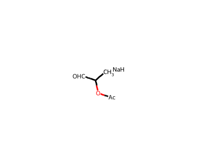 CC(=O)OC(C)C=O.[NaH]